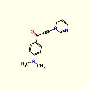 CN(C)c1ccc(C(=O)C#CN2C=NC=CC2)cc1